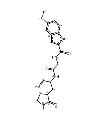 COc1ccc2[nH]c(C(=O)NCC(=O)NC(C=O)CC3CCNC3=O)cc2c1